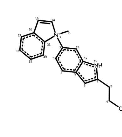 C[N+]1(c2ccc3cc(CCO)[nH]c3c2)C=Cc2cc[c]cc21